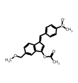 COCc1ccc2c(c1)C(OC(C)=O)=CC2=Cc1ccc([S+](C)[O-])cc1